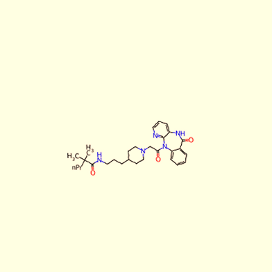 CCCC(C)(C)C(=O)NCCCC1CCN(CC(=O)N2c3ccccc3C(=O)Nc3cccnc32)CC1